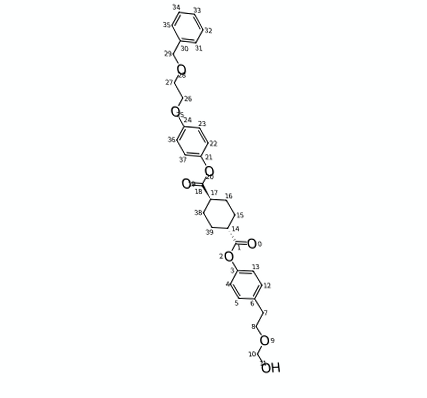 O=C(Oc1ccc(CCOCO)cc1)[C@H]1CC[C@H](C(=O)Oc2ccc(OCCOCc3ccccc3)cc2)CC1